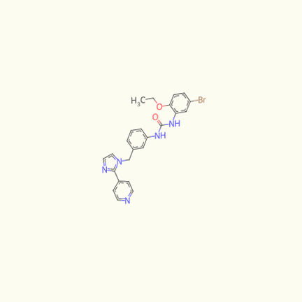 CCOc1ccc(Br)cc1NC(=O)Nc1cccc(Cn2ccnc2-c2ccncc2)c1